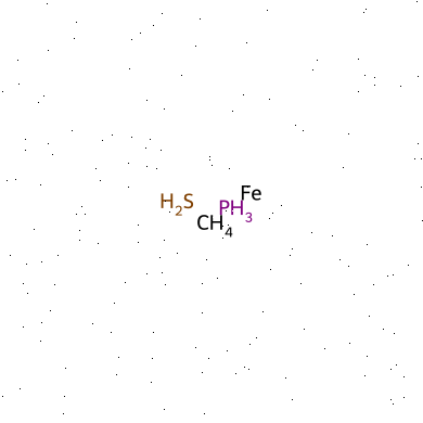 C.P.S.[Fe]